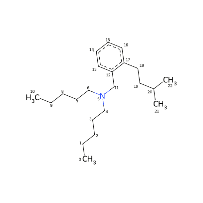 CCCCCN(CCCCC)Cc1c[c]ccc1CCC(C)C